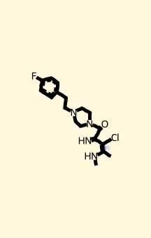 CN/C(C)=C(/Cl)C(=N)C(=O)N1CCN(CCc2ccc(F)cc2)CC1